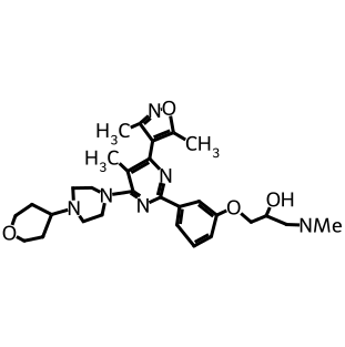 CNCC(O)COc1cccc(-c2nc(-c3c(C)noc3C)c(C)c(N3CCN(C4CCOCC4)CC3)n2)c1